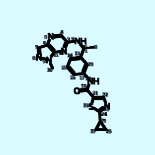 C[C@H](Nc1cnc2cnn(C)c2n1)c1cccc(NC(=O)c2cnc(C3CC3)s2)c1